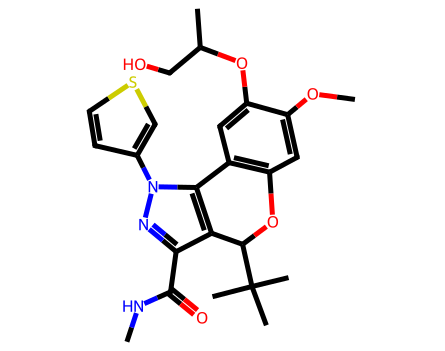 CNC(=O)c1nn(-c2ccsc2)c2c1C(C(C)(C)C)Oc1cc(OC)c(OC(C)CO)cc1-2